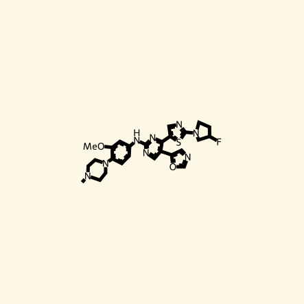 COc1cc(Nc2ncc(-c3cnco3)c(-c3cnc(N4CCC(F)C4)s3)n2)ccc1N1CCN(C)CC1